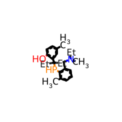 CCN(C)Cc1cccc(C)c1PC(CC)(CC)c1cc(C)ccc1O